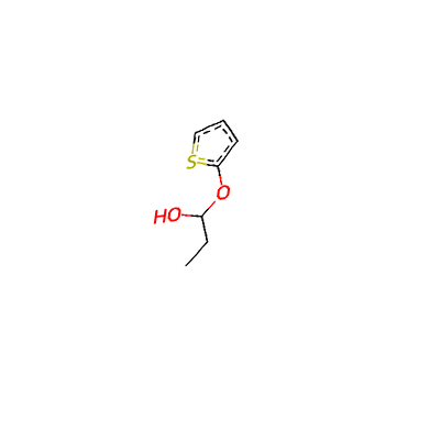 CCC(O)Oc1cccs1